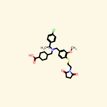 COc1cc(CN(CC2CCC(C(=O)O)CC2)[C@@H](C)c2ccc(Cl)cc2)ccc1SCCN1C(=O)CCC1=O